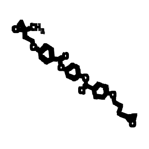 CC1(CCOc2ccc(C(=O)Oc3ccc(OC(=O)c4ccc(OCCCC5CO5)cc4)cc3)cc2)CO1